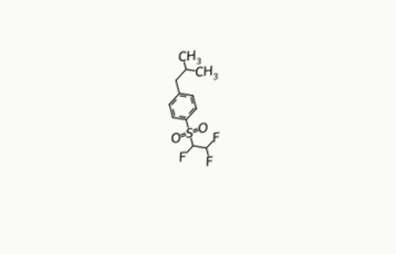 CC(C)Cc1ccc(S(=O)(=O)C(F)C(F)F)cc1